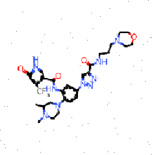 CC1CN(c2ccc(-n3cc(C(=O)NCCCN4CCOCC4)nn3)cc2NC(=O)c2c[nH]c(=O)cc2C(F)(F)F)CCN1C